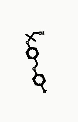 CC(C)(CO)Oc1ccc(COc2ccc(Br)cc2)cc1